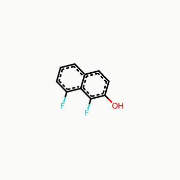 Oc1ccc2cccc(F)c2c1F